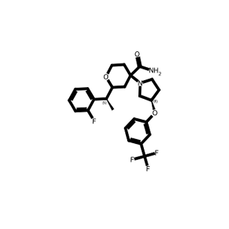 C[C@@H](c1ccccc1F)C1CC(C(N)=O)(N2CC[C@@H](Oc3cccc(C(F)(F)F)c3)C2)CCO1